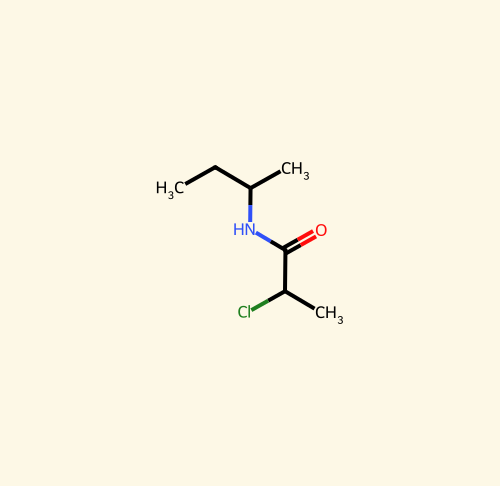 CCC(C)NC(=O)C(C)Cl